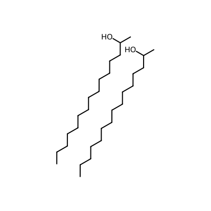 CCCCCCCCCCCCCC(C)O.CCCCCCCCCCCCCC(C)O